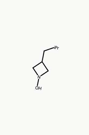 CC(C)CC1CN(O)C1